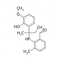 CCC(C)(Pc1c(C)cccc1C=O)c1cccc(OC)c1O